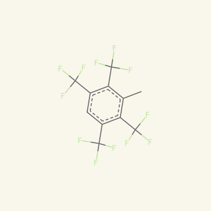 Cc1c(C(F)(F)F)c(C(F)(F)F)cc(C(F)(F)F)c1C(F)(F)F